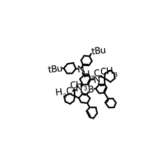 CC(C)(C)C1CC=C(N(C2=CC3=C4B(C5=C6C(CC(C7C=CCCC7)C5)C5(CCCCC5)C(C)(C)N6C4C2)C2CC(C4=CCCCC4)=CC4=C2N3C(C)(C)C42CCCCC2)C2CCC(C(C)(C)C)CC2)CC1